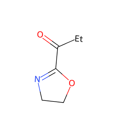 CCC(=O)C1=NCCO1